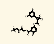 O=C(CNC(=O)c1cc(NC(=O)C2C(c3cc(Cl)cc(Cl)c3)C2(Cl)Cl)ccc1Cl)NCC(F)(F)F